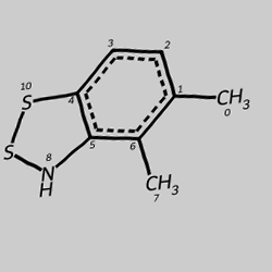 Cc1ccc2c(c1C)NSS2